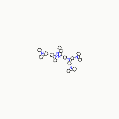 c1ccc(-n2c3ccccc3c3cc(-c4ccc5c(c4)c4ccccc4n5-c4nc(-c5ccc(-n6c7ccc(-n8c9ccccc9c9ccccc98)cc7c7cc(-n8c9ccccc9c9ccccc98)ccc76)cc5)c5ccc6ccccc6c5n4)ccc32)cc1